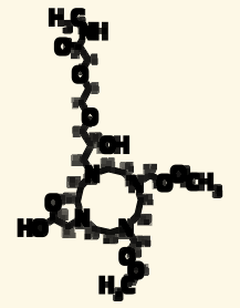 CNC(=O)COCCOCC(O)CN1CCN(COOC)CCN(COOC)CCN(CC(=O)O)CC1